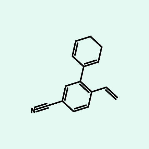 C=Cc1ccc(C#N)cc1C1=CCCC=C1